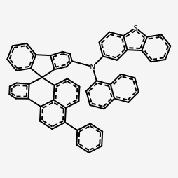 c1ccc(-c2ccc3c4c(cccc24)C2(c4ccccc4-c4ccc(N(c5ccc6sc7ccccc7c6c5)c5cccc6ccccc56)cc42)c2ccccc2-3)cc1